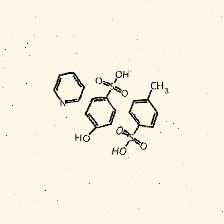 Cc1ccc(S(=O)(=O)O)cc1.O=S(=O)(O)c1ccc(O)cc1.c1ccncc1